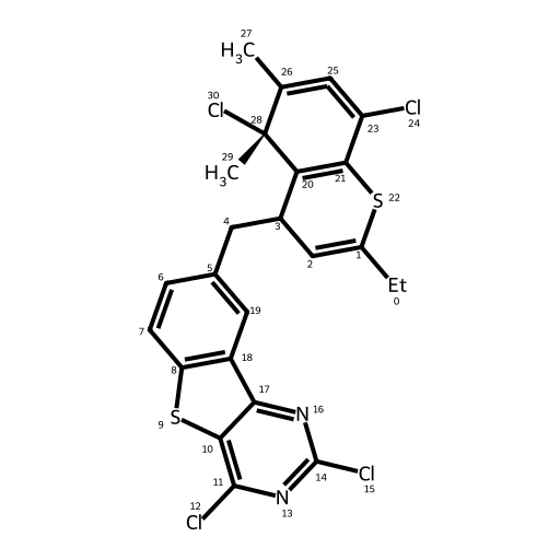 CCC1=CC(Cc2ccc3sc4c(Cl)nc(Cl)nc4c3c2)C2=C(S1)C(Cl)=C=C(C)[C@@]2(C)Cl